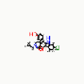 Oc1cccc(C23CCN(CC4CC4)CC2(O)Cc2c([nH]c4cc(Cl)ccc24)C3)c1